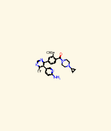 CCc1ncnc(-c2ccc(C(=O)N3CCN(C4CC4)CC3)c(OC)c2)c1-c1ccc(N)nc1